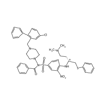 CN(C)CC[C@H](CSc1ccccc1)Nc1ccc(S(=O)(=O)N(C(=O)c2ccccc2)N2CCN(Cc3cc(Cl)ccc3-c3ccccc3)CC2)cc1[N+](=O)[O-]